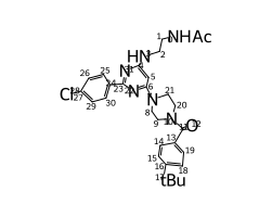 CC(=O)NCCNc1cc(N2CCN(C(=O)c3ccc(C(C)(C)C)cc3)CC2)nc(-c2ccc(Cl)cc2)n1